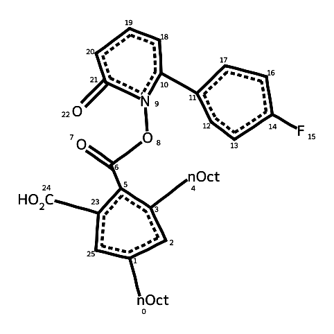 CCCCCCCCc1cc(CCCCCCCC)c(C(=O)On2c(-c3ccc(F)cc3)cccc2=O)c(C(=O)O)c1